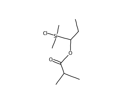 CCC(OC(=O)C(C)C)[Si](C)(C)Cl